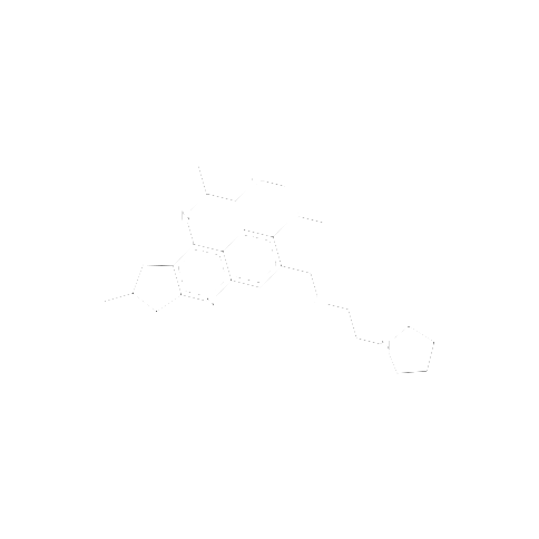 COCC(C)Nc1c2c(nc3cc(COCCN4CCCC4)c(OC)cc13)CC(C)C2